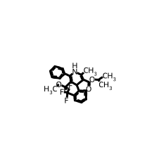 COC(=O)C1=C(c2ccccc2)NC(C)=C(C(=O)OC(C)C)C1c1ccccc1C(F)(F)F